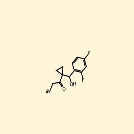 CC(C)CC(=O)C1(C(O)c2ccc(F)cc2F)CC1